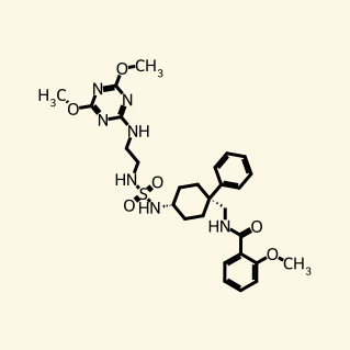 COc1nc(NCCNS(=O)(=O)N[C@H]2CC[C@](CNC(=O)c3ccccc3OC)(c3ccccc3)CC2)nc(OC)n1